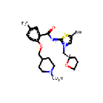 CC(C)(C)c1cn(C[C@H]2CCCO2)/c(=N/C(=O)c2cc(C(F)(F)F)ccc2OCC2CCN(C(=O)O)CC2)s1